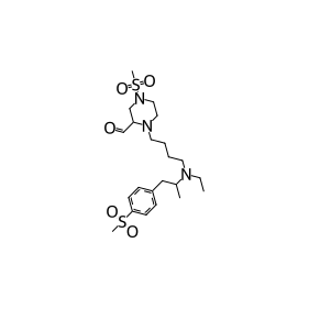 CCN(CCCCN1CCN(S(C)(=O)=O)CC1C=O)C(C)Cc1ccc(S(C)(=O)=O)cc1